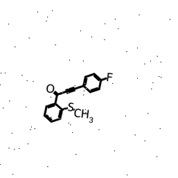 CSc1ccccc1C(=O)C#Cc1ccc(F)cc1